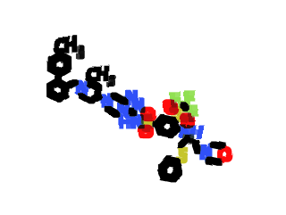 Cc1ccc(-c2ccccc2CN2CCC(N3CCn4c(nnc4NS(=O)(=O)c4ccc(N[C@H](CCN5CCOCC5)CSc5ccccc5)c(S(=O)(=O)C(F)(F)F)c4)C3)CC2C)cc1